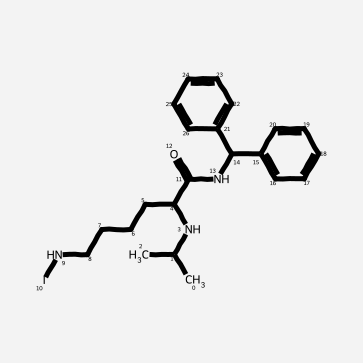 CC(C)NC(CCCCNI)C(=O)NC(c1ccccc1)c1ccccc1